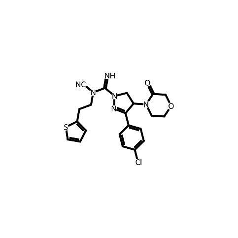 N#CN(CCc1cccs1)C(=N)N1CC(N2CCOCC2=O)C(c2ccc(Cl)cc2)=N1